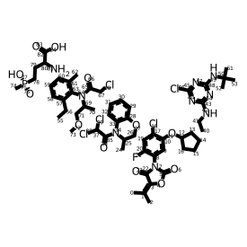 CC(C)=C1OC(=O)N(c2cc(OC3CCCC3)c(Cl)cc2F)C1=O.CC1COc2ccccc2N1C(=O)C(Cl)Cl.CCNc1nc(Cl)nc(NC(C)(C)C)n1.CCc1cccc(C)c1N(C(=O)CCl)C(C)COC.CP(=O)(O)CCC(N)C(=O)O